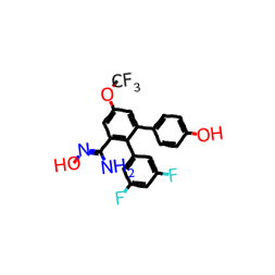 N/C(=N\O)c1cc(OC(F)(F)F)cc(-c2ccc(O)cc2)c1-c1cc(F)cc(F)c1